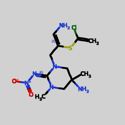 C=C(Cl)S/C(=C\N)CN1CC(C)(N)CN(C)/C1=N\[N+](=O)[O-]